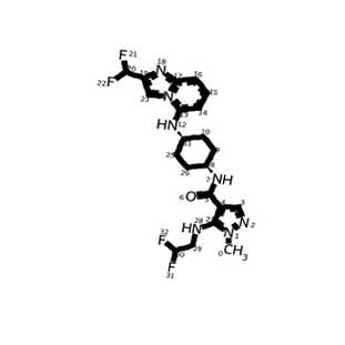 Cn1ncc(C(=O)N[C@H]2CC[C@@H](Nc3cccc4nc(C(F)F)cn34)CC2)c1NCC(F)F